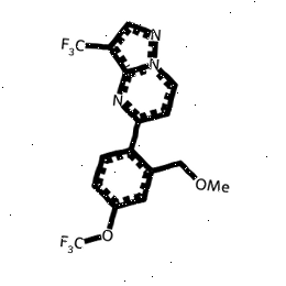 COCc1cc(OC(F)(F)F)ccc1-c1ccn2ncc(C(F)(F)F)c2n1